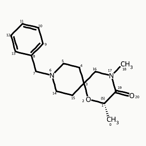 C[C@@H]1OC2(CCN(Cc3ccccc3)CC2)CN(C)C1=O